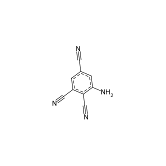 N#Cc1cc(N)c(C#N)c(C#N)c1